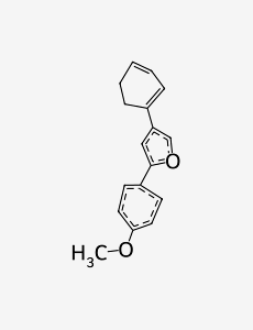 COc1ccc(-c2cc(C3=CC=CCC3)co2)cc1